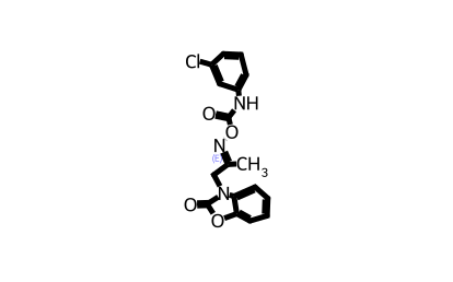 C/C(Cn1c(=O)oc2ccccc21)=N\OC(=O)Nc1cccc(Cl)c1